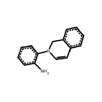 Nc1ccccc1N1C=Cc2ccccc2C1